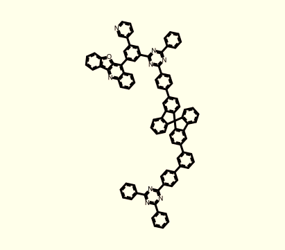 c1ccc(-c2nc(-c3ccccc3)nc(-c3ccc(-c4cccc(-c5ccc6c(c5)-c5ccccc5C65c6ccccc6-c6cc(-c7ccc(-c8nc(-c9ccccc9)nc(-c9cc(-c%10cccnc%10)cc(-c%10c%11ccccc%11nc%11c%10oc%10ccccc%10%11)c9)n8)cc7)ccc65)c4)cc3)n2)cc1